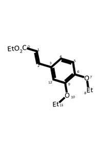 CCOC(=O)C=Cc1ccc(OCC)c(OCC)c1